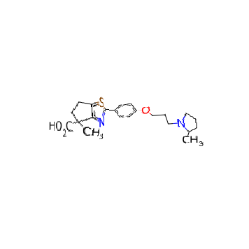 CC1CCCN1CCCOc1ccc(-c2nc3c(s2)CCC3(C)C(=O)O)cc1